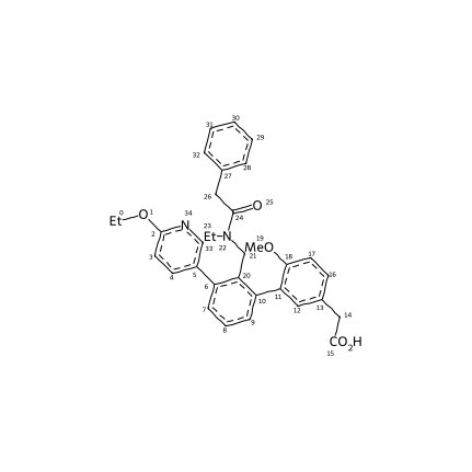 CCOc1ccc(-c2cccc(-c3cc(CC(=O)O)ccc3OC)c2CN(CC)C(=O)Cc2ccccc2)cn1